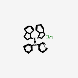 C1=CC2CC[CH]([Ti+2]([CH]3CCC4C=CC=CC43)=[Si](c3ccccc3)c3ccccc3)C2C=C1.[Cl-].[Cl-]